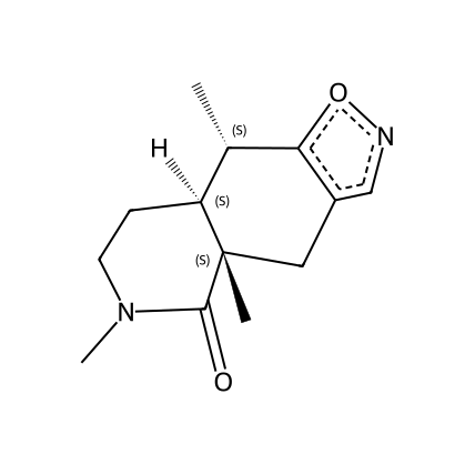 C[C@@H]1c2oncc2C[C@]2(C)C(=O)N(C)CC[C@@H]12